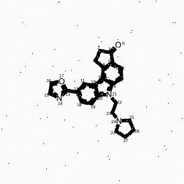 O=C1CCc2c1ccc1c2c2cc(-c3ncco3)ccc2n1CCN1CCCC1